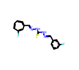 FC1=CC(/C=N/NC(=S)N/N=C/c2cccc(F)c2)=C=CC=C1